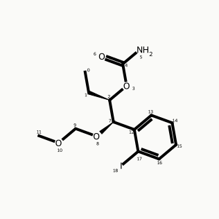 CC[C@@H](OC(N)=O)[C@H](OCOC)c1ccccc1I